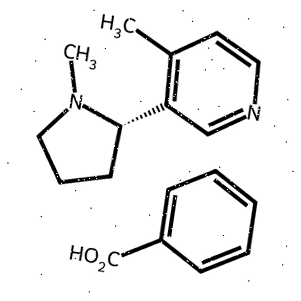 Cc1ccncc1[C@@H]1CCCN1C.O=C(O)c1ccccc1